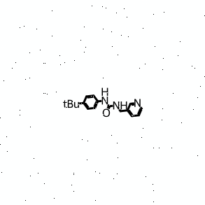 CC(C)(C)c1ccc(NC(=O)NCc2cccnc2)cc1